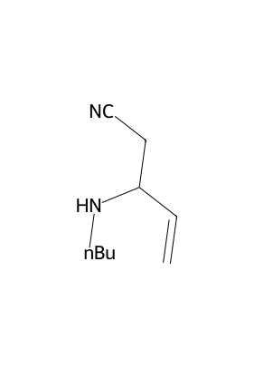 C=CC(CC#N)NCCCC